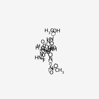 Cc1ccccc1[C@@H]1COCCCN1C1CC2(CCN(c3ccc(C(=O)NS(=O)(=O)c4ccc(NCC5CCC(C)(O)CC5)c([N+](=O)[O-])c4)c(N4c5cc6c(F)c[nH]c6nc5O[C@@H]5[C@@H]4CCOC5(C)C)c3)CC2)C1